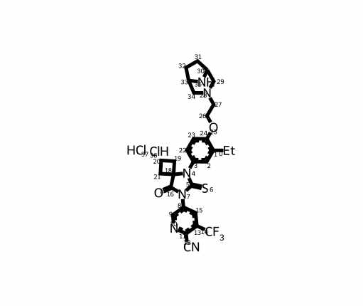 CCc1cc(N2C(=S)N(c3cnc(C#N)c(C(F)(F)F)c3)C(=O)C23CCC3)ccc1OCCN1CC2CCC(C1)N2.Cl.Cl